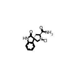 NC(=O)[C@@H]1C[C@@]2(CN1Cl)C(=O)Nc1ccccc12